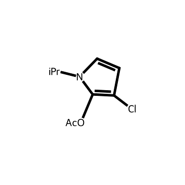 CC(=O)Oc1c(Cl)ccn1C(C)C